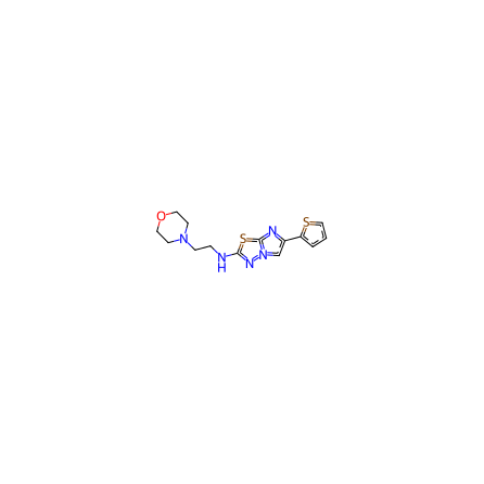 c1csc(-c2cn3nc(NCCN4CCOCC4)sc3n2)c1